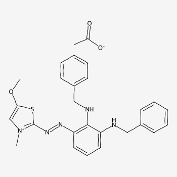 CC(=O)[O-].COc1c[n+](C)c(N=Nc2cccc(NCc3ccccc3)c2NCc2ccccc2)s1